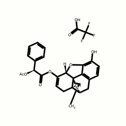 CC(=O)O[C@H](C(=O)OC1=CC[C@]2(O)C3Cc4ccc(O)c5c4[C@@]2(CCN3C)[C@H]1O5)c1ccccc1.O=C(O)C(F)(F)F